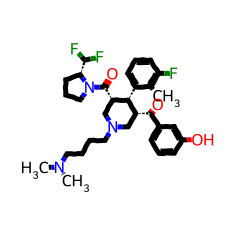 Cc1c(F)cccc1[C@H]1[C@@H](C(=O)N2CCC[C@@H]2C(F)F)CN(CCCCN(C)C)C[C@H]1C(=O)c1cccc(O)c1